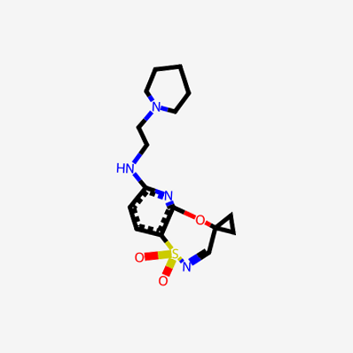 O=S1(=O)N=CC2(CC2)Oc2nc(NCCN3CCCCC3)ccc21